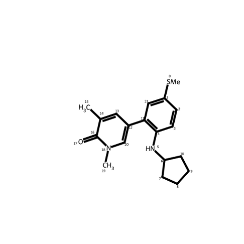 CSc1ccc(NC2CCCC2)c(-c2cc(C)c(=O)n(C)c2)c1